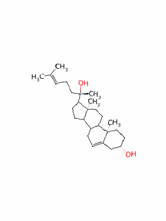 CC(C)=CCC[C@](C)(O)C1CCC2C3CC=C4C[C@@H](O)CC[C@]4(C)C3CC[C@@]21C